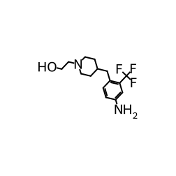 Nc1ccc(CC2CCN(CCO)CC2)c(C(F)(F)F)c1